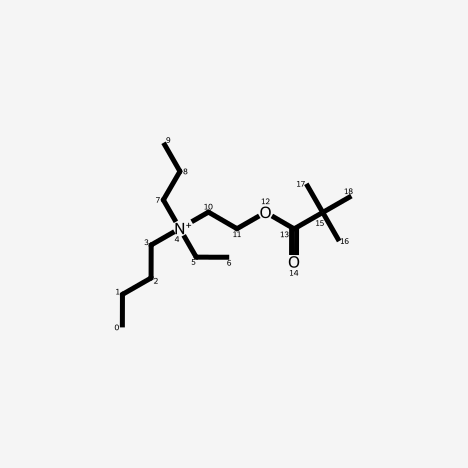 CCCC[N+](CC)(CCC)CCOC(=O)C(C)(C)C